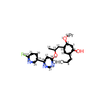 CC(C)Oc1cc(O)c(/C=C\C=O)cc1CC(C)Oc1cc(-c2ccc(F)nc2)ncn1